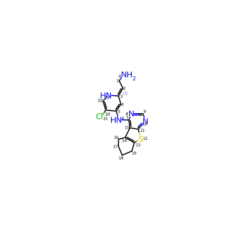 NC/C=C1/C=C(Nc2ncnc3sc4c(c23)CCCC4)C(Cl)=CN1